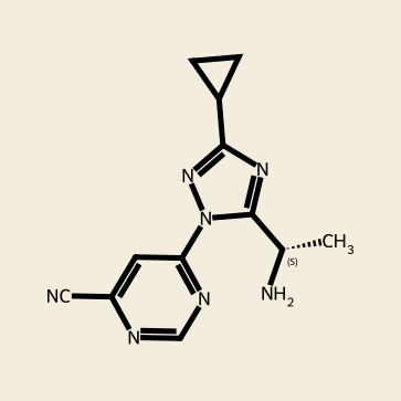 C[C@H](N)c1nc(C2CC2)nn1-c1cc(C#N)ncn1